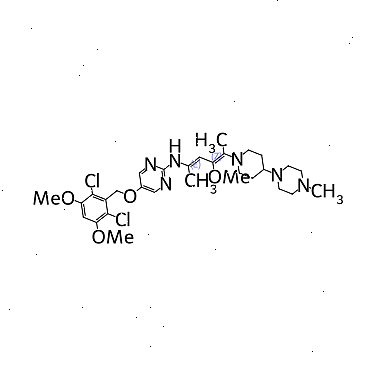 COC(/C=C(\C)Nc1ncc(OCc2c(Cl)c(OC)cc(OC)c2Cl)cn1)=C(/C)N1CCC(N2CCN(C)CC2)CC1